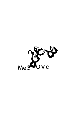 CCN1C(=O)N2Cc3cc(OC)cc(OC)c3CC=C2C12CCN(Cc1cccc3cccnc13)CC2